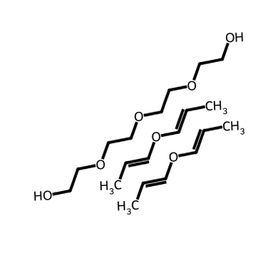 CC=COC=CC.CC=COC=CC.OCCOCCOCCOCCO